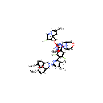 COc1ccc(CN(Cc2ccc(OC)cc2)c2cc(C)c(C(F)(F)F)c(-c3c(F)cc4c(N5C6COCC5CN(C(=O)OC(C)(C)C)C6)nc(OCC56CC(F)CN5CC(OC)C6)nc4c3F)n2)cc1